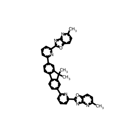 Cc1ccc2oc(-c3cccc(-c4ccc5c(c4)C(C)(C)c4cc(-c6cccc(-c7nc8nc(C)ccc8o7)n6)ccc4-5)n3)nc2n1